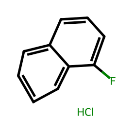 Cl.Fc1cccc2ccccc12